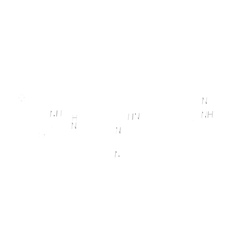 O=C(NC1CCOCC1)c1cc2ccc(C3=NCCC(NC4C=CC(c5cn[nH]c5)=CC4)=N3)cc2[nH]1